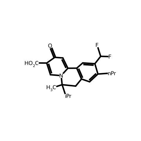 CCCc1cc2c(cc1C(F)F)-c1cc(=O)c(C(=O)O)cn1C(C)(C(C)C)C2